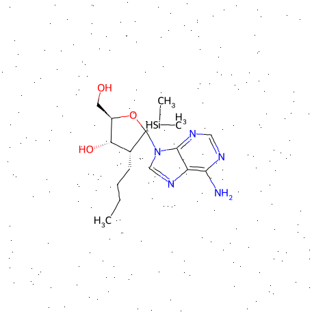 CCCC[C@@H]1[C@H](O)[C@@H](CO)O[C@]1(n1cnc2c(N)ncnc21)[SiH](C)C